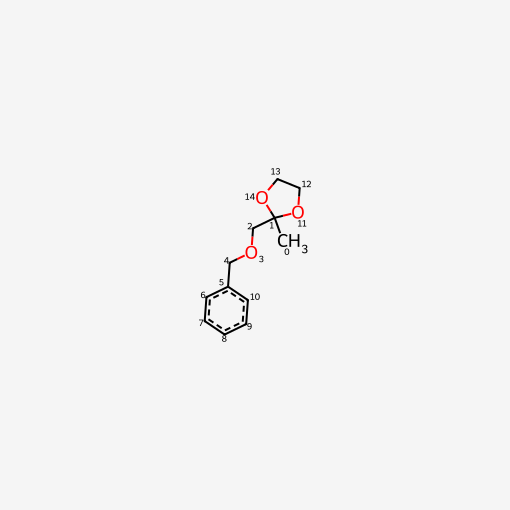 CC1(COCc2ccccc2)OCCO1